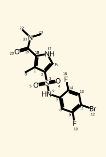 Cc1c(S(=O)(=O)Nc2cc(F)c(Br)cc2F)c[nH]c1C(=O)N(C)C